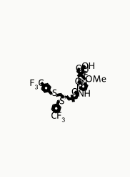 COC(n1ccc(NC(=O)CC(C)(C)CC[C@H](CCSCc2ccc(C(F)(F)F)cc2)SCc2ccc(C(F)(F)F)cc2)nc1=O)C(F)(F)C(C)(CO)[C@H](C)CO